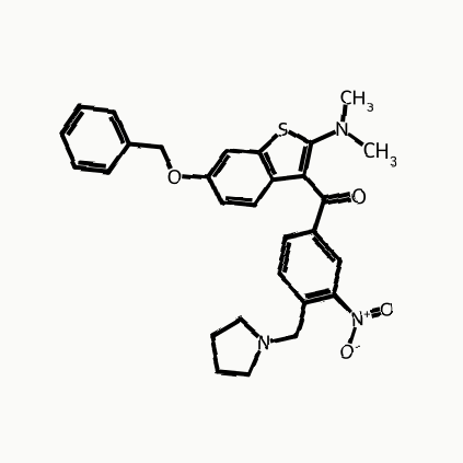 CN(C)c1sc2cc(OCc3ccccc3)ccc2c1C(=O)c1ccc(CN2CCCC2)c([N+](=O)[O-])c1